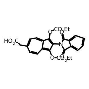 CCOC(=O)Oc1c2ccc(CC(=O)O)ccc-2c(OC(=O)OCC)c1N1C(=O)c2ccccc2C1=O